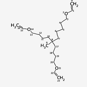 C=COCCCCCC(C)(CCCCOC=C)CCCCOC=C